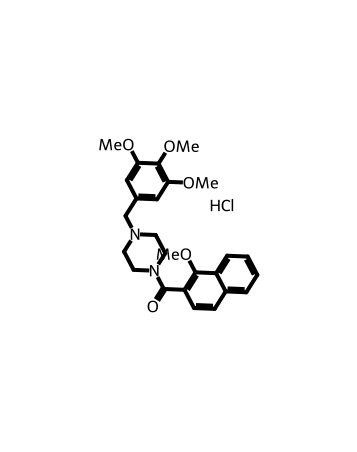 COc1cc(CN2CCN(C(=O)c3ccc4ccccc4c3OC)CC2)cc(OC)c1OC.Cl